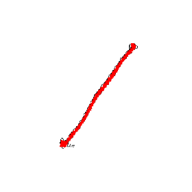 COC(CCOCCOCCOCCOCCOCCOCCOCCOCCOCCOCCOCCOCCOCCOCCOCCOCCOCCOCCOCCOCCOCCOCCOCCOCCOCCC(=O)ON1C(=O)CCC1=O)ON1C(=O)CCC1=O